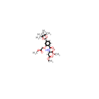 COC(=O)COc1cc(B2OC(C)(C)C(C)(C)O2)ccc1C(=O)NC(CC(=O)OC)C(=O)OC